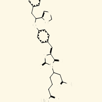 O=C(O)CCCC(CC(=O)O)N1C(=O)C(=Cc2ccc(OC(Cc3ccccc3)C3=COCO3)cc2)SC1=S